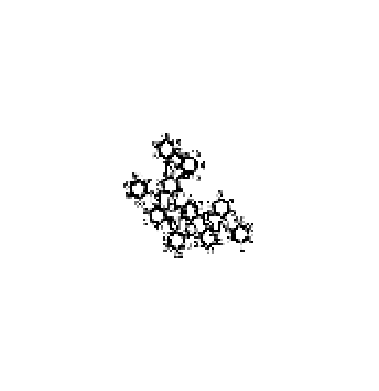 c1ccc(N2c3ccccc3B3c4ccc5c(c4Oc4cccc2c43)N(c2ccccc2)c2cccc3c2B5c2cc4c5cccc6c7ccccc7n(c4cc2N3c2ccccc2)c65)cc1